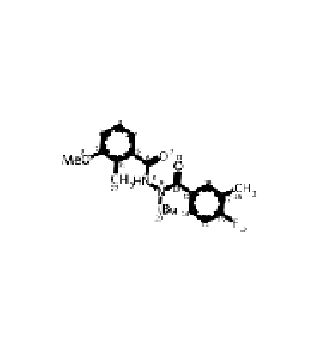 COc1cccc(C(=O)NN(C(=O)c2ccc(F)c(C)c2)C(C)(C)C)c1C